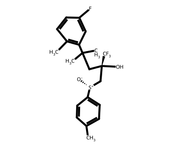 Cc1ccc([S@+]([O-])C[C@@](O)(CC(C)(C)c2cc(F)ccc2C)C(F)(F)F)cc1